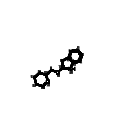 c1ccc2c(c1)CN(OCC1CCCCO1)N2